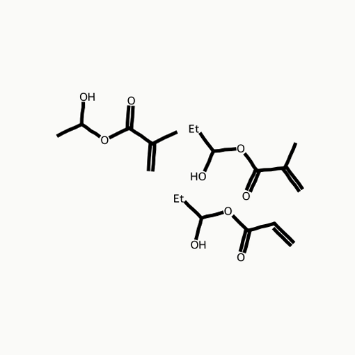 C=C(C)C(=O)OC(C)O.C=C(C)C(=O)OC(O)CC.C=CC(=O)OC(O)CC